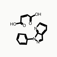 O=C(O)/C=C\C(=O)O.c1ccc(-n2ncc3cccnc32)cc1